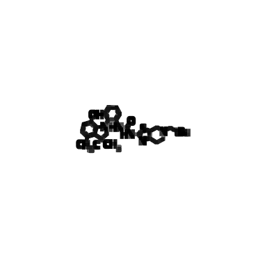 CC(C)(C)CN1CCc2nc(NC(=O)Nc3ccccc3N3CC(C)(C)c4c(C(F)(F)F)ccc(O)c43)sc2C1